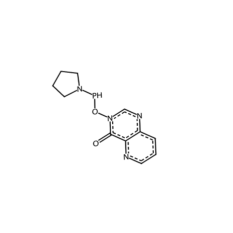 O=c1c2ncccc2ncn1OPN1CCCC1